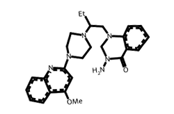 CCC(CN1CN(N)C(=O)c2ccccc21)N1CCN(c2cc(OC)c3ccccc3n2)CC1